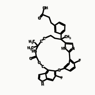 CC1(C)CCCCC(C)(c2cccc(CCC(=O)O)c2)c2cnc([nH]2)-c2cc(ccc2F)Oc2c(F)cc3[nH]ccc3c2COC(=O)N1